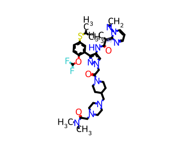 C=NN1C=CC=N/C1=C(/C)C(=O)Nc1cn(CC(=O)N2CCC(CN3CCN(CC(=O)N(C)C)CC3)CC2)nc1-c1cc(SC(C)C)ccc1OC(F)F